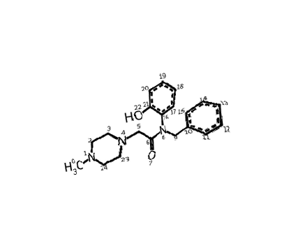 CN1CCN(CC(=O)N(Cc2ccccc2)c2ccccc2O)CC1